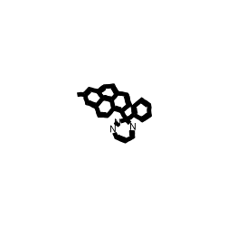 Cc1cc2ccc3ccc(C4(c5ccccc5)N=CC=CN=N4)c4ccc(c1)c2c34